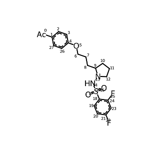 CC(=O)c1ccc(OCCCC2CCCN2NS(=O)(=O)c2ccc(F)cc2F)cc1